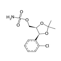 CC1(C)O[C@H](COS(N)(=O)=O)[C@H](c2ccccc2Cl)O1